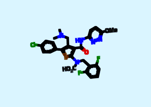 COc1ccc(NC(=O)c2c(N(Cc3c(F)cccc3F)C(=O)O)sc(-c3ccc(Cl)cc3)c2CN(C)C)nn1